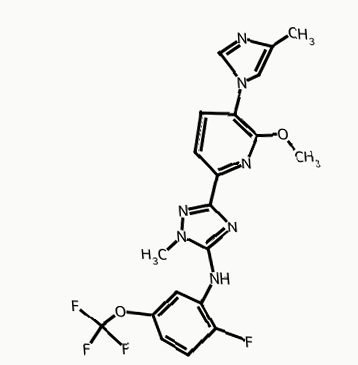 COc1nc(-c2nc(Nc3cc(OC(F)(F)F)ccc3F)n(C)n2)ccc1-n1cnc(C)c1